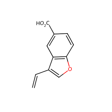 C=Cc1coc2ccc(C(=O)O)cc12